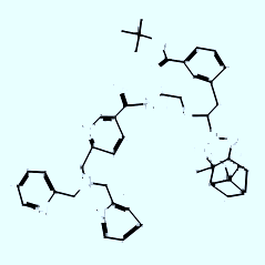 CC(C)(C)OC(=O)c1cccc(CC(SCCNC(=O)c2ccc(CN(Cc3ccccn3)Cc3ccccn3)nc2)B2OC3CC4CC(C4(C)C)C3(C)O2)c1